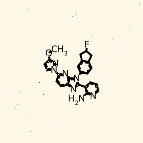 COc1ccn(-c2ccc3nc(-c4cccnc4N)n(-c4ccc5c(c4)CC(F)C5)c3n2)n1